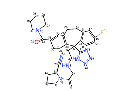 C=C(CNCCC1(c2nnn[nH]2)c2ccc(F)cc2CCc2cc(C(=O)N3CCCCC3)ccc21)N1CCCC1C#N